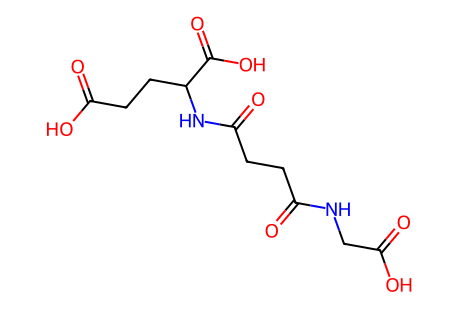 O=C(O)CCC(NC(=O)CCC(=O)NCC(=O)O)C(=O)O